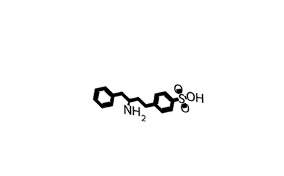 N[C@H](CCc1ccc(S(=O)(=O)O)cc1)Cc1ccccc1